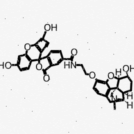 CN1CC[C@]23c4c5ccc(OCCNC(=O)c6ccc7c(c6)C(=O)OC76c7ccc(O)cc7Oc7cc(O)ccc76)c4O[C@H]2[C@@H](O)CC[C@H]3[C@H]1C5